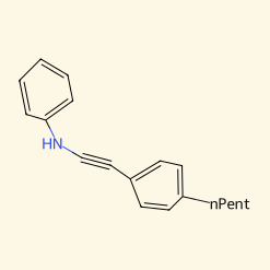 CCCCCc1ccc(C#CNc2ccccc2)cc1